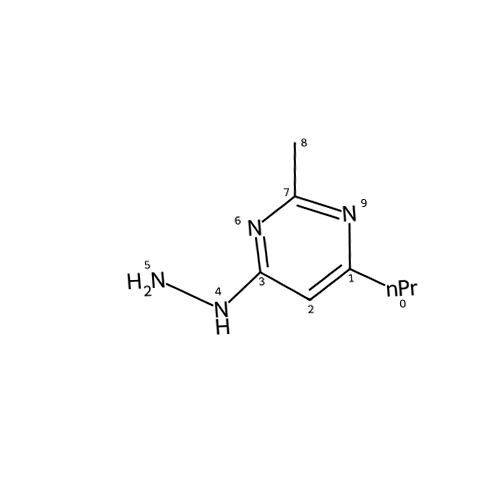 CCCc1cc(NN)nc(C)n1